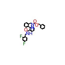 O=C(NCc1ccccc1-c1ncccc1C(=O)NCc1ccc(F)cc1F)OCc1ccccc1